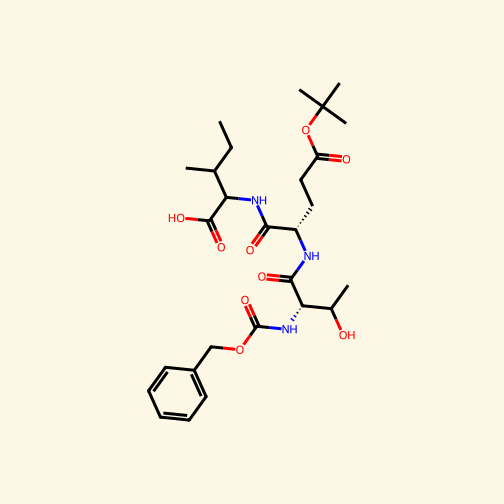 CCC(C)C(NC(=O)[C@H](CCC(=O)OC(C)(C)C)NC(=O)[C@@H](NC(=O)OCc1ccccc1)C(C)O)C(=O)O